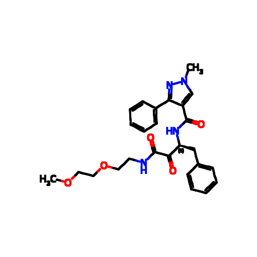 COCCOCCNC(=O)C(=O)[C@H](Cc1ccccc1)NC(=O)c1cn(C)nc1-c1ccccc1